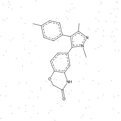 Cc1ccc(-c2c(C)nn(C)c2-c2ccc3c(c2)NC(=O)CO3)cc1